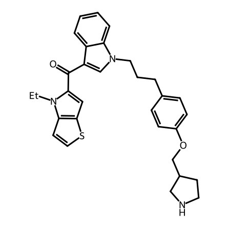 CCn1c(C(=O)c2cn(CCCc3ccc(OCC4CCNC4)cc3)c3ccccc23)cc2sccc21